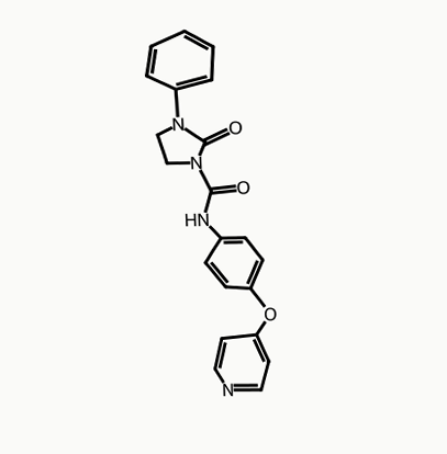 O=C(Nc1ccc(Oc2ccncc2)cc1)N1CCN(c2ccccc2)C1=O